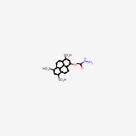 NNC(=O)COc1cc(S(=O)(=O)O)c2ccc3c(S(=O)(=O)O)cc(S(=O)(=O)O)c4ccc1c2c43